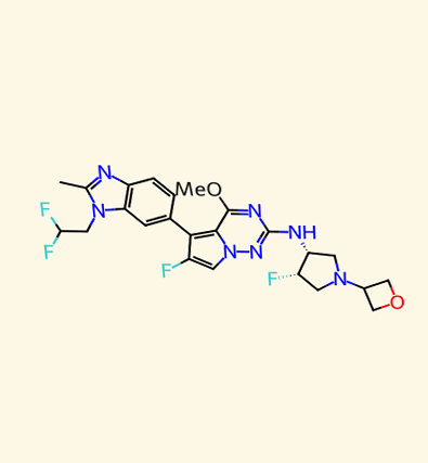 COc1nc(N[C@@H]2CN(C3COC3)C[C@@H]2F)nn2cc(F)c(-c3ccc4nc(C)n(CC(F)F)c4c3)c12